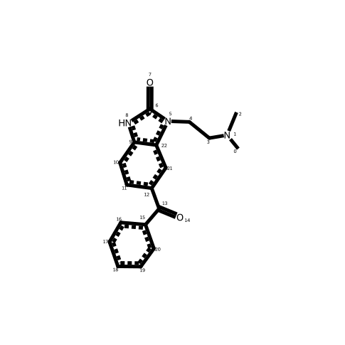 CN(C)CCn1c(=O)[nH]c2ccc(C(=O)c3ccccc3)cc21